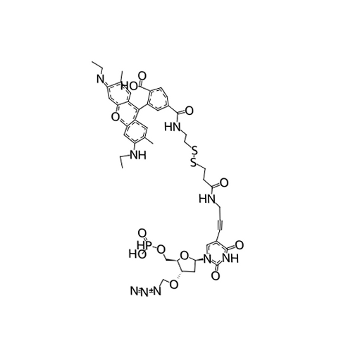 CC/N=c1/cc2oc3cc(NCC)c(C)cc3c(-c3cc(C(=O)NCCSSCCC(=O)NCC#Cc4cn([C@H]5C[C@H](OCN=[N+]=[N-])[C@@H](CO[PH](=O)O)O5)c(=O)[nH]c4=O)ccc3C(=O)O)c-2cc1C